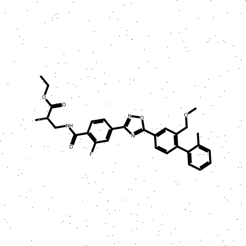 CCOC(=O)C(C)CNC(=O)c1ccc(-c2noc(-c3ccc(-c4ccccc4C)c(COC)c3)n2)cc1F